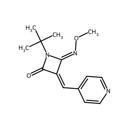 CON=C1C(=Cc2ccncc2)C(=O)N1C(C)(C)C